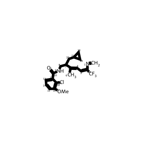 C=N/C(=C\C=C(/C)C(CNC(=O)c1cccc(OC)c1Cl)CC1CC1)C(F)(F)F